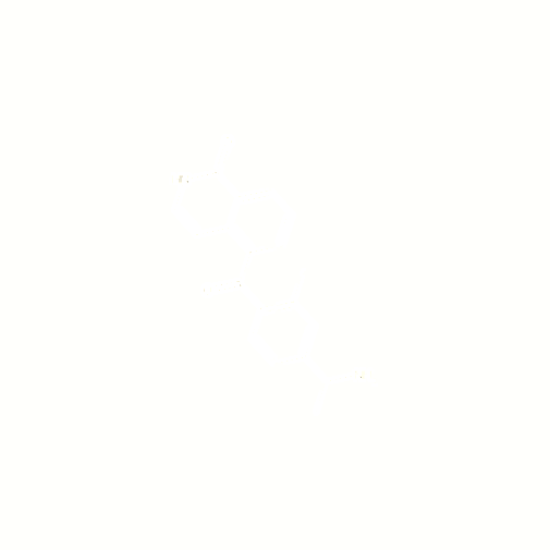 Cc1cc(C(C)N)ccc1C(=O)c1cccc2c(=O)[nH]ccc12